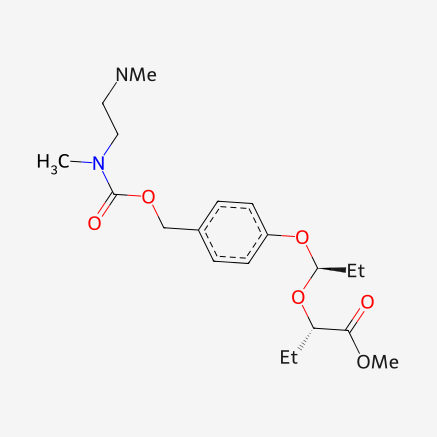 CC[C@H](Oc1ccc(COC(=O)N(C)CCNC)cc1)O[C@@H](CC)C(=O)OC